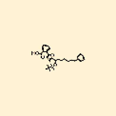 CC(C)(C)[Si](C)(C)OC(CCCCCCc1ccccc1)c1ncc(-c2ccccc2C(=O)O)o1